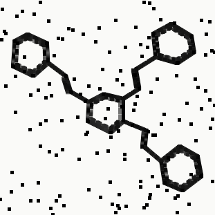 C(=Cc1ccc(C=Cc2ccccc2)c(C=Cc2ccccc2)c1)c1ccccc1